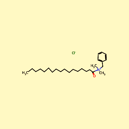 CCCCCCCCCCCCCCCCC(=O)[N+](C)(C)Cc1ccccc1.[Cl-]